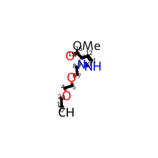 C#CCOCCOCCN1NC=CC1C(=O)OC